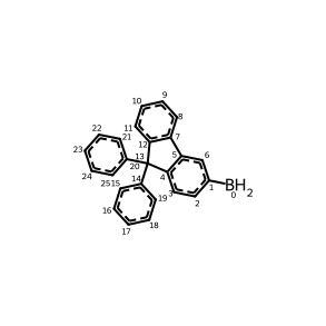 Bc1ccc2c(c1)-c1ccccc1C2(c1ccccc1)c1ccccc1